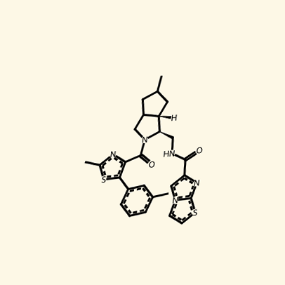 Cc1cccc(-c2sc(C)nc2C(=O)N2CC3CC(C)C[C@@H]3[C@H]2CNC(=O)c2cn3ccsc3n2)c1